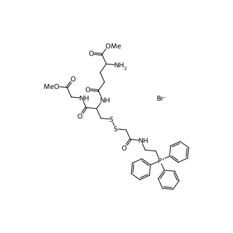 COC(=O)CNC(=O)C(CSSCC(=O)NCC[P+](c1ccccc1)(c1ccccc1)c1ccccc1)NC(=O)CCC(N)C(=O)OC.[Br-]